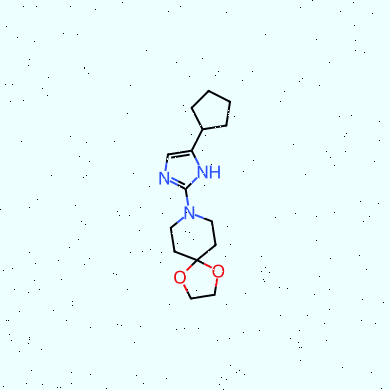 c1nc(N2CCC3(CC2)OCCO3)[nH]c1C1CCCC1